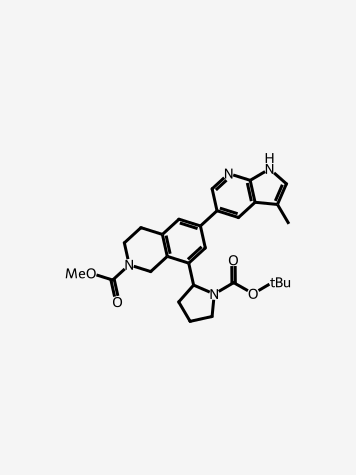 COC(=O)N1CCc2cc(-c3cnc4[nH]cc(C)c4c3)cc(C3CCCN3C(=O)OC(C)(C)C)c2C1